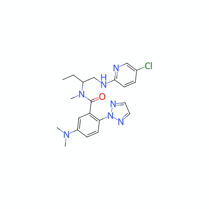 CCC(CNc1ccc(Cl)cn1)N(C)C(=O)c1cc(N(C)C)ccc1-n1nccn1